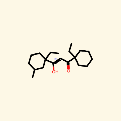 CCC1(C(=O)/C=C(\O)C2(CC)CCCC(C)C2)CCCCC1